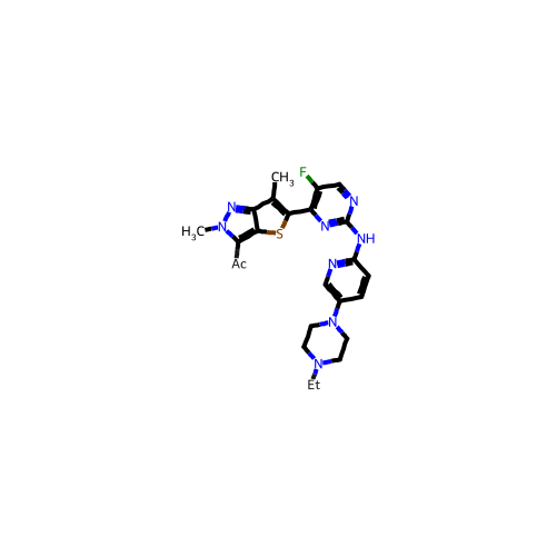 CCN1CCN(c2ccc(Nc3ncc(F)c(-c4sc5c(C(C)=O)n(C)nc5c4C)n3)nc2)CC1